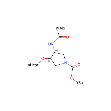 CCCCCCCO[C@@H]1CN(C(=O)OC(C)(C)C)C[C@H]1NC(=O)CCCCCC